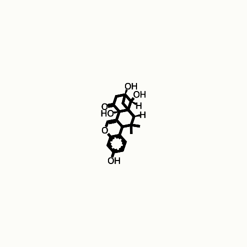 CC1(C)C2C(=COc3cc(O)ccc32)[C@]2(O)C(=O)C[C@@]3(O)C[C@H]1C2[C@H]3O